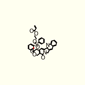 C=CC(=O)OCCO[Si](O[C@]1(C)C(=O)OCc2c1cc1n(c2=O)Cc2cc3ccccc3nc2-1)(c1ccccc1)c1ccccc1